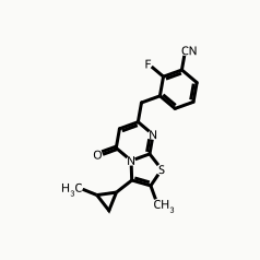 Cc1sc2nc(Cc3cccc(C#N)c3F)cc(=O)n2c1C1CC1C